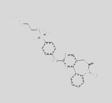 COCCNS(=O)(=O)c1ccc(Nc2ncc3c(n2)-c2ccccc2N(C)C(=O)C3)cc1